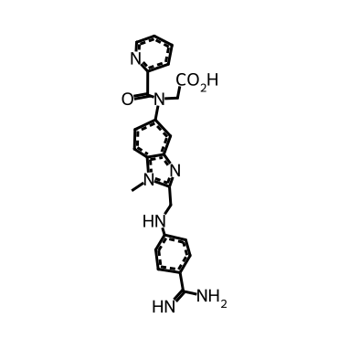 Cn1c(CNc2ccc(C(=N)N)cc2)nc2cc(N(CC(=O)O)C(=O)c3ccccn3)ccc21